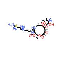 CCO[C@@H](O[C@@H]1[C@@H](C)C(=O)[C@@H](C)C(=O)O[C@H](CC)[C@@]2(C)OC(=O)N(CCCCn3cc(-c4nnc(N)s4)nn3)[C@@H]2[C@@H](C)NC[C@H](C)C[C@@]1(C)OC)C(O)C(CC)N(C)C